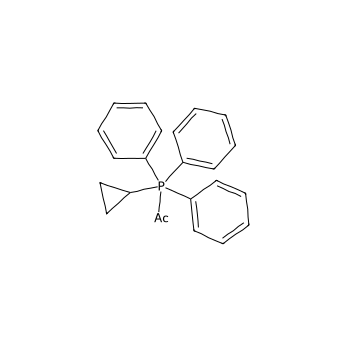 CC(=O)P(c1ccccc1)(c1ccccc1)(c1ccccc1)C1CC1